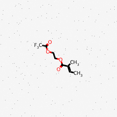 C/C=C(\C)C(=O)OCCOC(=O)C(F)(F)F